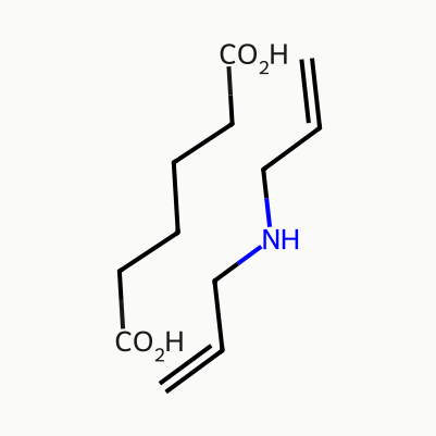 C=CCNCC=C.O=C(O)CCCCC(=O)O